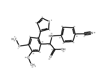 COc1cc(-c2ccsc2)c(C(Nc2ccc(C#N)cc2)C(=O)O)cc1OC